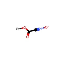 CCOC(=O)C#[N+][O-]